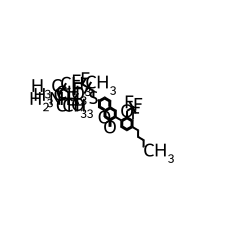 CCCCCc1ccc(-c2cc3ccc(SCC(C)(COC(=O)C(C)(CC(C)(C)C)C(C)(C)N)C(F)(F)F)cc3oc2=O)c(OC(F)(F)F)c1